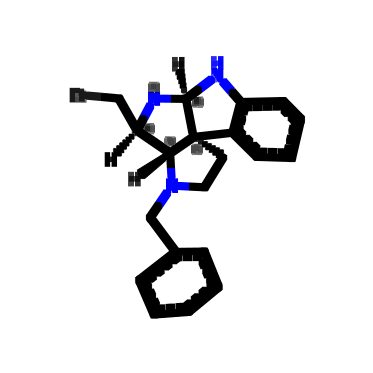 CCC1[C@@H]2[C@H]3N(Cc4ccccc4)CC[C@]34c3ccccc3N[C@@H]4[N@]12